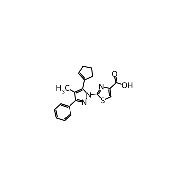 Cc1c(-c2ccccc2)nn(-c2nc(C(=O)O)cs2)c1C1=CCCC1